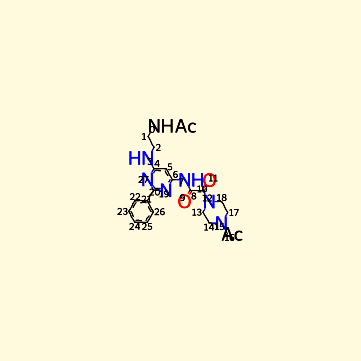 CC(=O)NCCNc1cc(NC(=O)C(=O)N2CCN(C(C)=O)CC2)nc(-c2ccccc2)n1